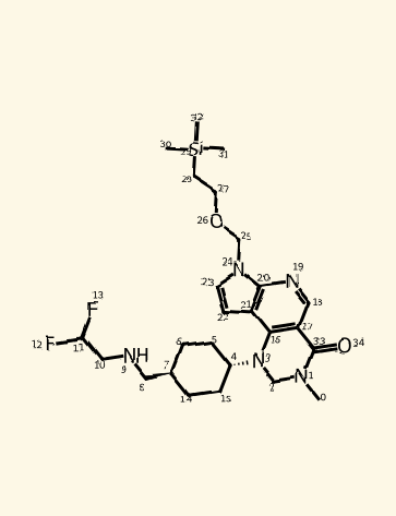 CN1CN([C@H]2CC[C@H](CNCC(F)F)CC2)c2c(cnc3c2ccn3COCC[Si](C)(C)C)C1=O